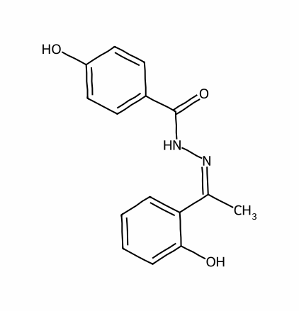 CC(=NNC(=O)c1ccc(O)cc1)c1ccccc1O